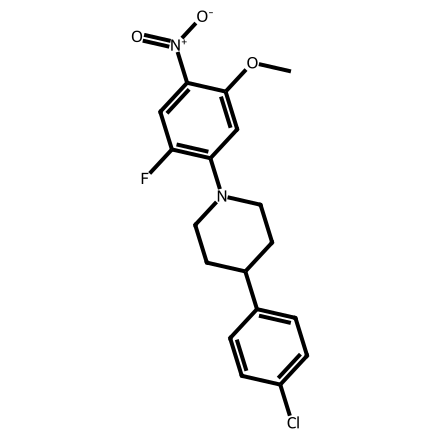 COc1cc(N2CCC(c3ccc(Cl)cc3)CC2)c(F)cc1[N+](=O)[O-]